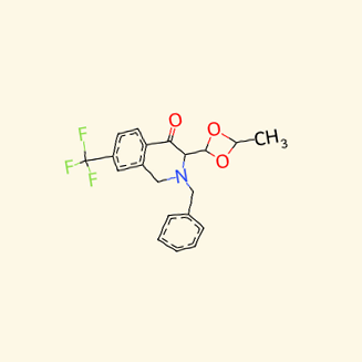 CC1OC(C2C(=O)c3ccc(C(F)(F)F)cc3CN2Cc2ccccc2)O1